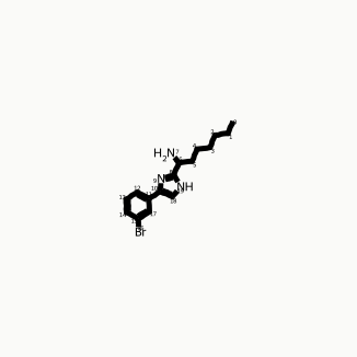 CCCCCCC(N)c1nc(-c2cccc(Br)c2)c[nH]1